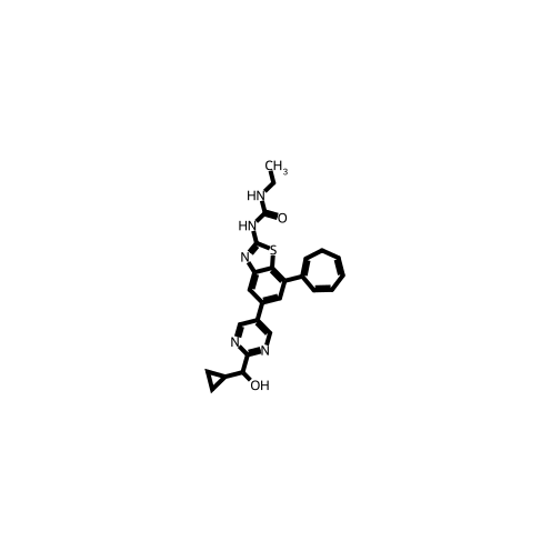 CCNC(=O)Nc1nc2cc(-c3cnc(C(O)C4CC4)nc3)cc(C3=CCC=CC=C3)c2s1